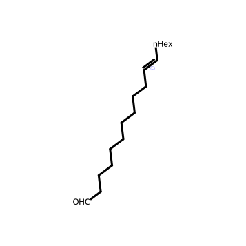 CCCCCC/C=C/CCCCCCCCCC=O